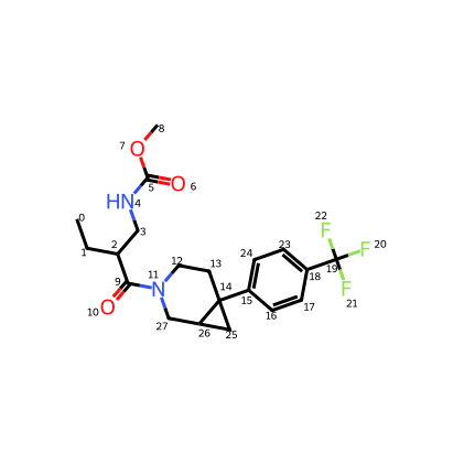 CCC(CNC(=O)OC)C(=O)N1CCC2(c3ccc(C(F)(F)F)cc3)CC2C1